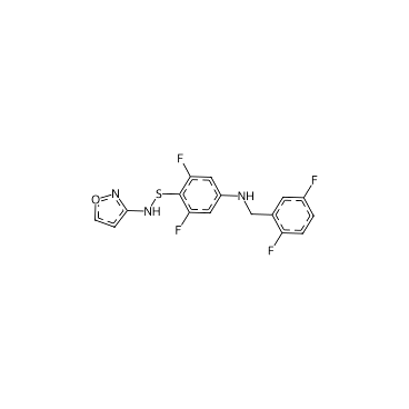 Fc1ccc(F)c(CNc2cc(F)c(SNc3ccon3)c(F)c2)c1